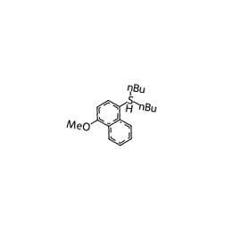 CCCC[SH](CCCC)c1ccc(OC)c2ccccc12